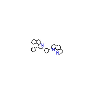 c1ccc(-c2cc(-c3cccc(-c4ccc5ccc6cccnc6c5n4)c3)nc3ccc4ccccc4c23)cc1